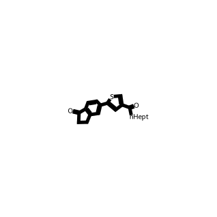 CCCCCCCC(=O)c1csc(-c2ccc3c(c2)CCC3=O)c1